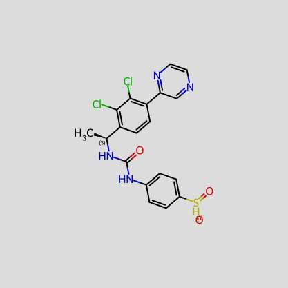 C[C@H](NC(=O)Nc1ccc([SH](=O)=O)cc1)c1ccc(-c2cnccn2)c(Cl)c1Cl